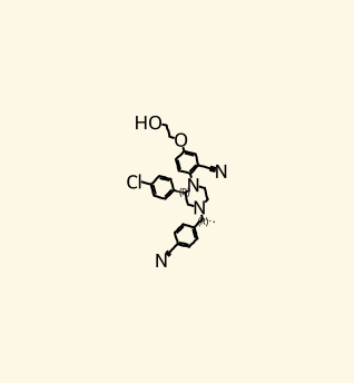 C[C@H](c1ccc(C#N)cc1)N1CCN(c2ccc(OCCO)cc2C#N)[C@H](c2ccc(Cl)cc2)C1